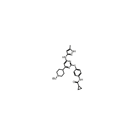 Cc1cc(Nc2cc(C3CCN(C(C)(C)C)CC3)nc(Sc3ccc(NC(=O)C4CC4)cc3)n2)n[nH]1